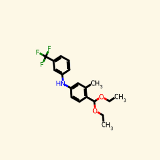 CCOC(OCC)c1ccc(Nc2cccc(C(F)(F)F)c2)cc1C